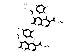 CCOC(=O)c1cnc2nc(C)c(OCC)cc2c1Nc1ccc(OC)cc1C.CCOC(=O)c1cnc2nc(C)c(OCC)cc2c1Nc1ccc(OC)cc1C.Cl